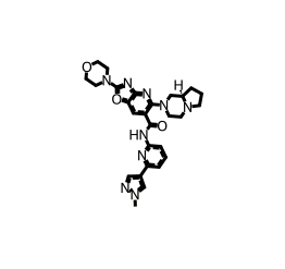 Cn1cc(-c2cccc(NC(=O)c3cc4oc(N5CCOCC5)nc4nc3N3CCN4CCC[C@@H]4C3)n2)cn1